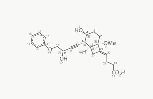 CO[C@@]12CC[C@H](O)[C@@H](C#C[C@@H](O)COc3ccccc3)[C@@H]1CC2=CCCC(=O)O